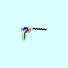 CCCCCCCCCCCCSC(=S)SC(CC(C)(C)C#N)C(=O)OCCC(F)(F)C(F)(F)C(F)(F)C(F)(F)F